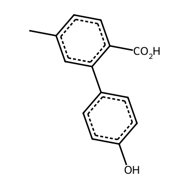 Cc1ccc(C(=O)O)c(-c2ccc(O)cc2)c1